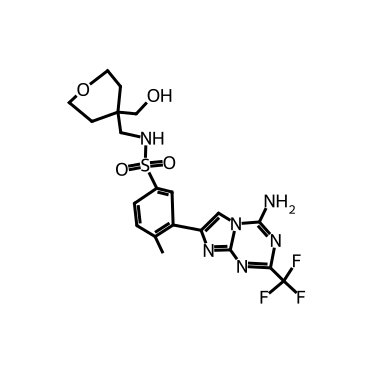 Cc1ccc(S(=O)(=O)NCC2(CO)CCOCC2)cc1-c1cn2c(N)nc(C(F)(F)F)nc2n1